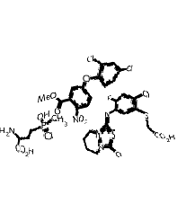 COC(=O)c1cc(Oc2ccc(Cl)cc2Cl)ccc1[N+](=O)[O-].CP(=O)(O)CCC(N)C(=O)O.O=C(O)CSc1cc(N=c2sc(=O)n3n2CCCC3)c(F)cc1Cl